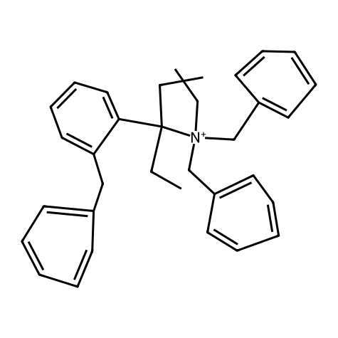 CCC(CC)(c1ccccc1Cc1ccccc1)[N+](CC)(Cc1ccccc1)Cc1ccccc1